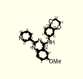 COc1ccc2nc(-c3cccnc3)nc(Nc3ccc4c(c3)OCCO4)c2c1